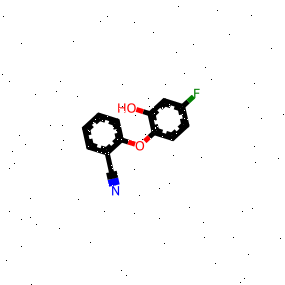 N#Cc1ccccc1Oc1ccc(F)cc1O